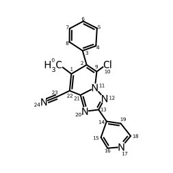 Cc1c(-c2ccccc2)c(Cl)n2nc(-c3ccncc3)nc2c1C#N